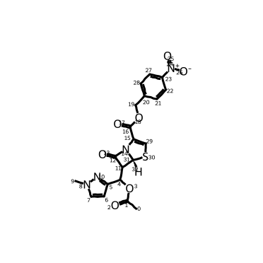 CC(=O)OC(c1ccn(C)n1)C1C(=O)N2C(C(=O)OCc3ccc([N+](=O)[O-])cc3)=CS[C@H]12